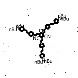 CCCCN(CCCC)c1ccc(C=Cc2ccc(C=Cc3c(C#N)c(C=Cc4ccc(C=Cc5ccc(N(CCCC)CCCC)cc5)cc4)c(C#N)c(C=Cc4ccc(C=Cc5ccc(N(CCCC)CCCC)cc5)cc4)c3C#N)cc2)cc1